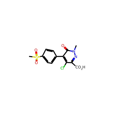 Cn1nc(C(=O)O)c(Cl)c(-c2ccc(S(C)(=O)=O)cc2)c1=O